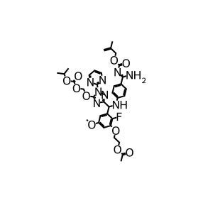 C=C(C)COC(=O)N=C(N)c1ccc(NC(c2nc(OCOC(=O)OC(C)C)n(-c3ncccn3)n2)c2cc(OC)cc(OCCOC(C)=O)c2F)cc1